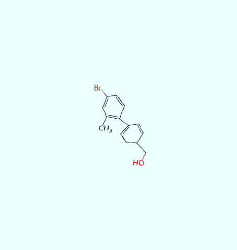 Cc1cc(Br)ccc1C1=CCC(CO)C=C1